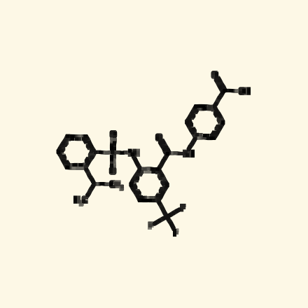 CC(C)c1ccccc1S(=O)(=O)Nc1ccc(C(F)(F)F)cc1C(=O)Nc1ccc(C(=O)O)cc1